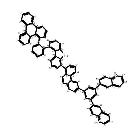 c1ccc(-c2cccc3c4ccccc4c4ccccc4c23)c(-c2cccc3sc4c(-c5cccc6c5ccc5ccc(-c7cc(-c8ccc9ncccc9c8)cc(-c8ccc9ncccc9c8)c7)cc56)cccc4c23)c1